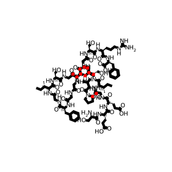 CC[C@H](C)[C@H](NC(=O)CNC(=O)[C@H](Cc1ccccc1)NC(=O)CNC(=O)CNC(=O)[C@H](CO)NC(=O)[C@H](CO)NC(=O)[C@@H](NC(=O)[C@@H]1CCCN1C(=O)[C@@H](NC(=O)CNC(=O)[C@H](CCC(=O)O)NC(=O)[C@H](CCC(=O)O)NC(=O)[C@@H](N)CO)C(C)C)[C@@H](C)CC)C(=O)N[C@@H](CO)C(=O)NCC(=O)N[C@@H](CC(C)C)C(=O)NCC(=O)N[C@@H](CO)C(=O)N[C@@H](CCCNC(=N)N)C(=O)N[C@@H](Cc1ccccc1)C(=O)O